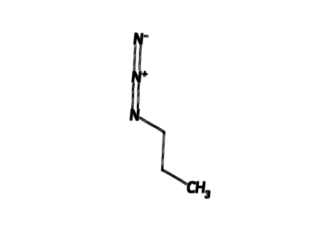 CCCN=[N+]=[N-]